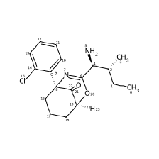 CC[C@@H](C)[C@H](N)C1=N[C@]2(c3ccccc3Cl)CCC[C@H](O1)C2=O